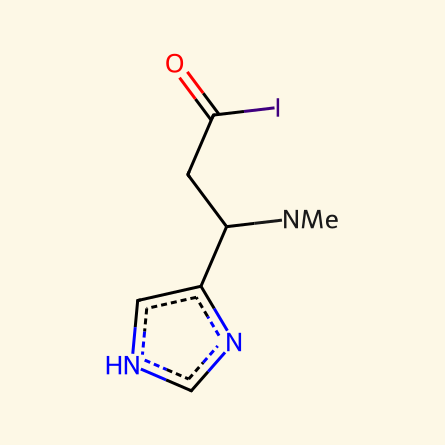 CNC(CC(=O)I)c1c[nH]cn1